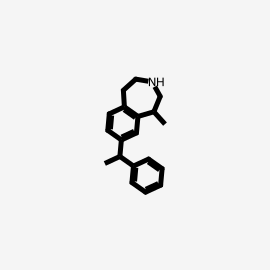 CC1CNCCc2ccc(C(C)c3ccccc3)cc21